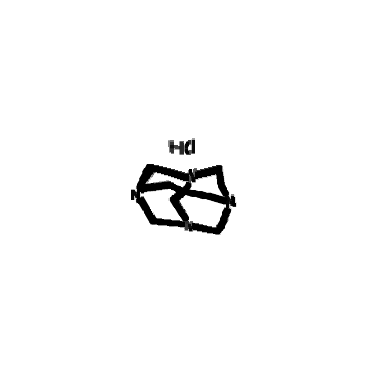 C1N2CN3CN1CN(C2)C3.Cl